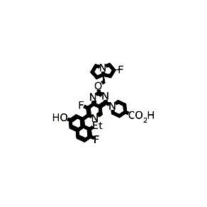 CCc1c(F)ccc2cc(O)cc(-c3ncc4c(N5CCC(C(=O)O)CC5)nc(OC[C@@]56CCCN5C[C@H](F)C6)nc4c3F)c12